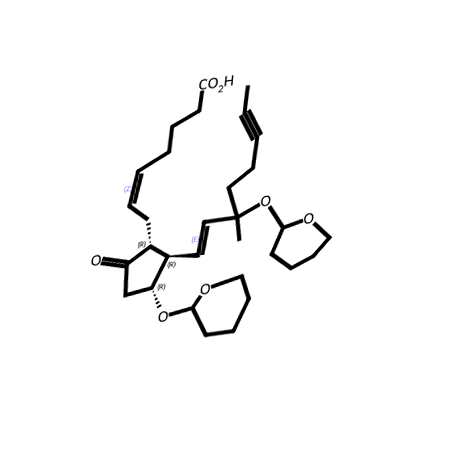 CC#CCCC(C)(/C=C/[C@H]1[C@H](OC2CCCCO2)CC(=O)[C@@H]1C/C=C\CCCC(=O)O)OC1CCCCO1